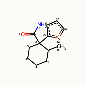 CC1CCCCC1(C(N)=O)c1cccs1